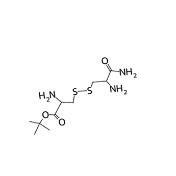 CC(C)(C)OC(=O)C(N)CSSCC(N)C(N)=O